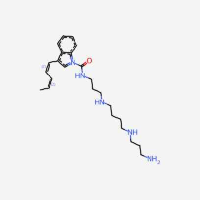 C/C=C\C=C/c1cn(C(=O)NCCCNCCCCNCCCN)c2ccccc12